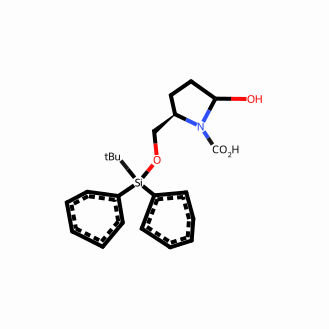 CC(C)(C)[Si](OC[C@H]1CCC(O)N1C(=O)O)(c1ccccc1)c1ccccc1